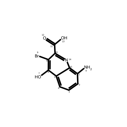 Nc1cccc2c(O)c(Br)c(C(=O)O)nc12